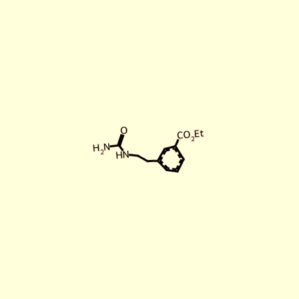 CCOC(=O)c1cccc(CCNC(N)=O)c1